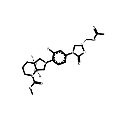 COC(=O)N1CCC[C@H]2CN(c3ccc(N4C[C@H](CNC(C)=O)OC4=O)cc3F)C[C@H]21